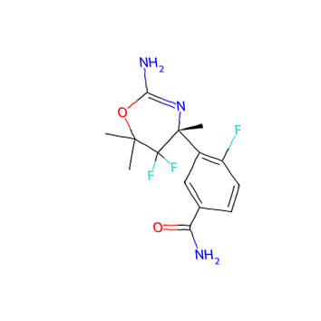 CC1(C)OC(N)=N[C@](C)(c2cc(C(N)=O)ccc2F)C1(F)F